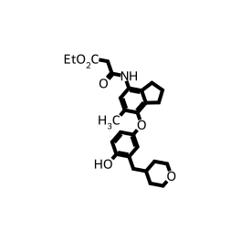 CCOC(=O)CC(=O)Nc1cc(C)c(Oc2ccc(O)c(CC3CCOCC3)c2)c2c1CCC2